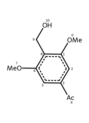 COc1cc(C(C)=O)cc(OC)c1CO